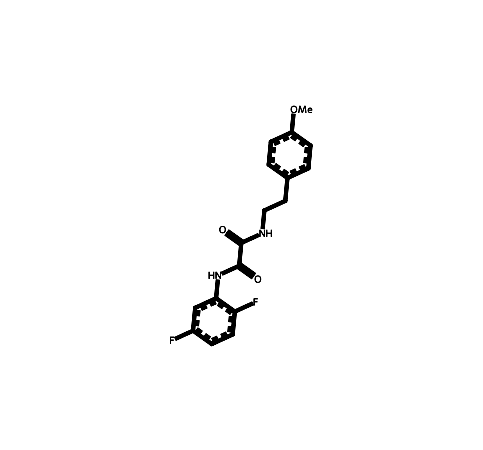 COc1ccc(CCNC(=O)C(=O)Nc2cc(F)ccc2F)cc1